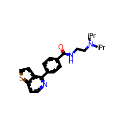 CC(C)N(CCNC(=O)c1ccc(-c2nccc3sccc23)cc1)C(C)C